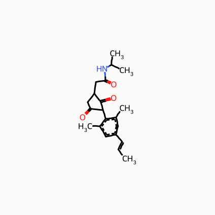 C/C=C/c1cc(C)c(C2C(=O)CC(CC(=O)NC(C)C)C2=O)c(C)c1